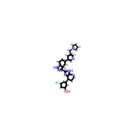 Oc1cc(F)cc(-c2ccnc3[nH]c(-c4n[nH]c5ccc(-c6cncc(CN7CCCC7)c6)cc45)nc23)c1